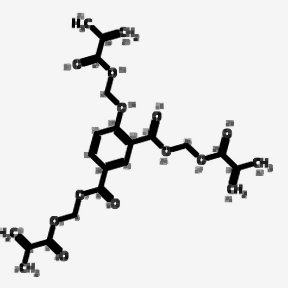 C=C(C)C(=O)OCOC(=O)c1ccc(OCOC(=O)C(=C)C)c(C(=O)OCOC(=O)C(=C)C)c1